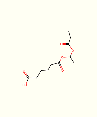 CCC(=O)OC(C)OC(=O)CCCCC(=O)O